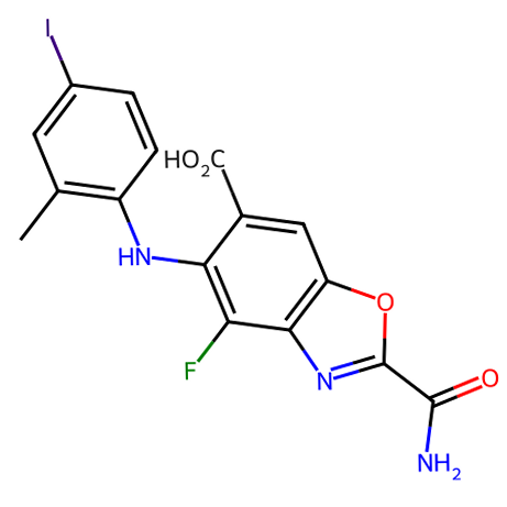 Cc1cc(I)ccc1Nc1c(C(=O)O)cc2oc(C(N)=O)nc2c1F